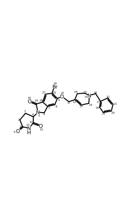 O=C1CCC(N2Cc3cc(OCC4=CCN(Cc5ccccc5)CC4)c(Br)cc3C2=O)C(=O)N1